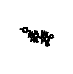 CNc1c(CNc2c(F)c(OC)cc(OC)c2F)cnc2c1cnn2Cc1ccc(C)cc1